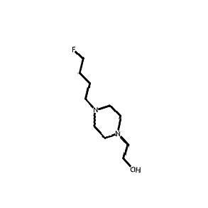 OCCN1CCN(CCCCF)CC1